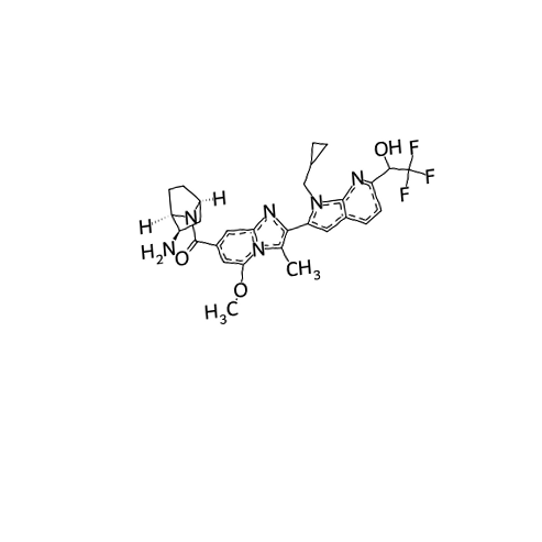 COc1cc(C(=O)N2[C@H]3CC[C@@H]2[C@H](N)C3)cc2nc(-c3cc4ccc(C(O)C(F)(F)F)nc4n3CC3CC3)c(C)n12